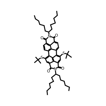 CCCCCCC(CCCCCC)N1C(=O)c2ccc3c4c(SC(C)(C)C)cc5c6c(cc(SC(C)(C)C)c(c7ccc(c2c37)C1=O)c64)C(=O)N(C(CCCCCC)CCCCCC)C5=O